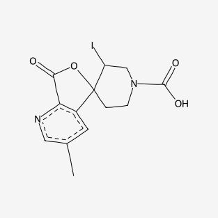 Cc1cnc2c(c1)C1(CCN(C(=O)O)CC1I)OC2=O